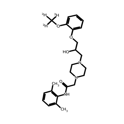 [2H]C([2H])([2H])Oc1ccccc1OCC(O)CN1CCN(CC(=O)Nc2c(C)cccc2C)CC1